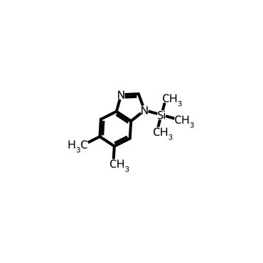 Cc1cc2ncn([Si](C)(C)C)c2cc1C